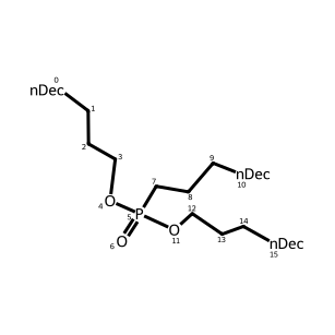 CCCCCCCCCCCCCOP(=O)(CCCCCCCCCCCCC)OCCCCCCCCCCCCC